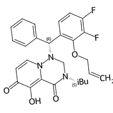 C=CCOc1c([C@@H](c2ccccc2)N2CN([C@@H](C)CC)C(=O)c3c(O)c(=O)ccn32)ccc(F)c1F